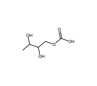 CC(O)C(O)COC(=O)O